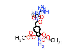 CCOC(=O)Oc1c2ccc(CC(=O)N(OC)C(=O)Nc3nnn[nH]3)ccc-2c(OC(=O)OCC)c1N